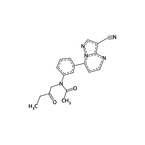 CCC(=O)CN(C(C)=O)c1cccc(-c2ccnc3c(C#N)cnn23)c1